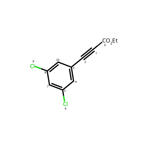 CCOC(=O)C#Cc1cc(Cl)cc(Cl)c1